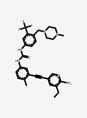 CCc1cc(C#Cc2cc(NC(=O)Nc3ccc(CN4CCN(C)CC4)c(C(F)(F)F)c3)ccc2C)cnc1N